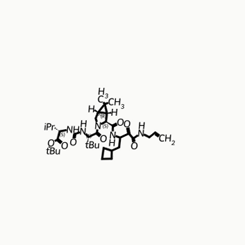 C=CCNC(=O)C(=O)C(CC1CCC1)NC(=O)[C@@H]1[C@@H]2[C@H](CN1C(=O)[C@@H](NC(=O)N[C@H](C(=O)OC(C)(C)C)C(C)C)C(C)(C)C)C2(C)C